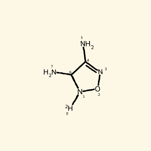 [2H]N1ON=C(N)C1N